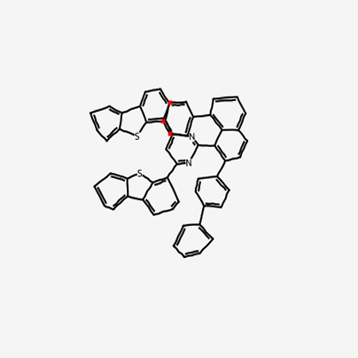 c1ccc(-c2ccc(-c3ccc4cccc(-c5ccccc5)c4c3-c3nc(-c4cccc5c4sc4ccccc45)cc(-c4cccc5c4sc4ccccc45)n3)cc2)cc1